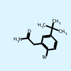 CC(C)(C)c1ccc(Br)c(CC(N)=O)c1